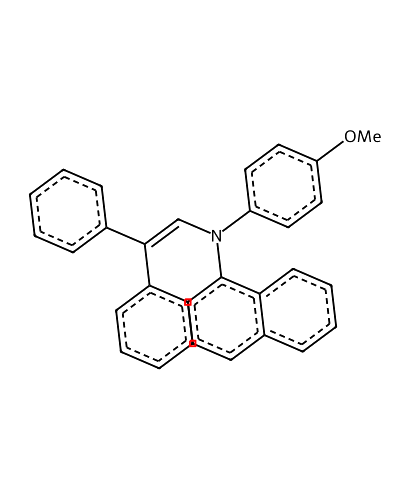 COc1ccc(N(C=C(c2ccccc2)c2ccccc2)c2cccc3ccccc23)cc1